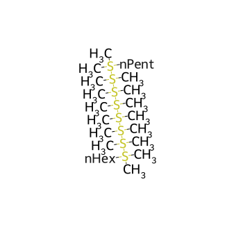 CCCCCCS(C)(C)S(C)(C)S(C)(C)S(C)(C)S(C)(C)S(C)(C)S(C)(C)S(C)(C)CCCCC